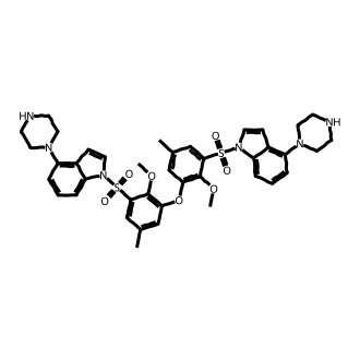 COc1c(Oc2cc(C)cc(S(=O)(=O)n3ccc4c(N5CCNCC5)cccc43)c2OC)cc(C)cc1S(=O)(=O)n1ccc2c(N3CCNCC3)cccc21